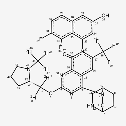 [2H]C([2H])(Oc1nc(N2CC3CCC2CN3)c2cc(C(F)(F)F)n(-c3cc(O)cc4ccc(F)c(F)c34)c(=O)c2n1)[C@@H]1CCCN1C([2H])([2H])[2H]